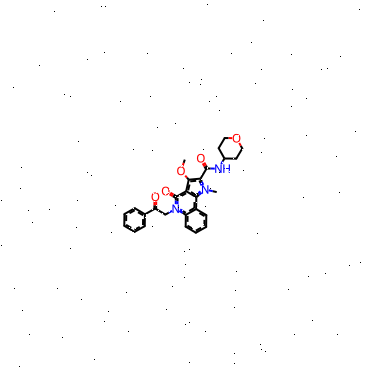 COc1c(C(=O)NC2CCOCC2)n(C)c2c1c(=O)n(CC(=O)c1ccccc1)c1ccccc21